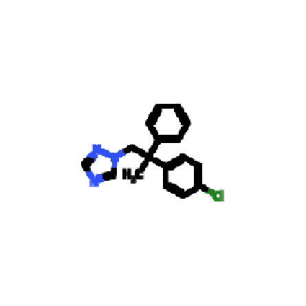 C[Si](Cn1cncn1)(c1ccccc1)c1ccc(Cl)cc1